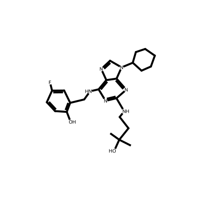 CC(C)(O)CCNc1nc(NCc2cc(F)ccc2O)c2ncn(C3CCCCC3)c2n1